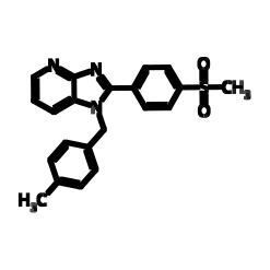 Cc1ccc(Cn2c(-c3ccc(S(C)(=O)=O)cc3)nc3ncccc32)cc1